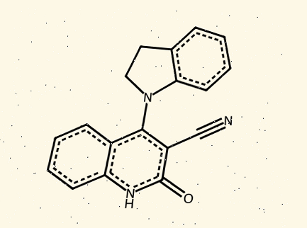 N#Cc1c(N2CCc3ccccc32)c2ccccc2[nH]c1=O